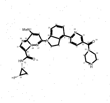 CNc1cc(N2CCc3c(-c4ccc(C(=O)N5CCNCC5)cn4)cccc32)nn2c(C(=O)N[C@@H]3C[C@@H]3F)cnc12